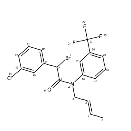 CC=CCN(C(=O)C(Br)c1cccc(Cl)c1)c1cccc(C(F)(F)F)c1